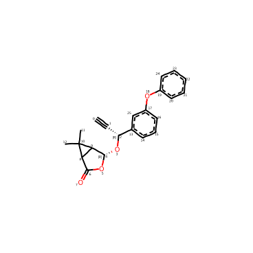 C#C[C@@H](O[C@@H]1OC(=O)C2C1C2(C)C)c1cccc(Oc2ccccc2)c1